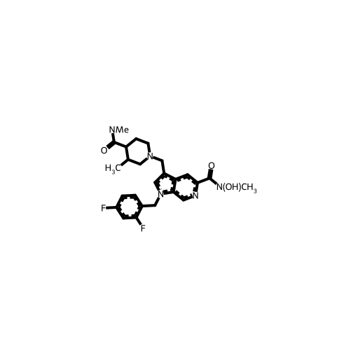 CNC(=O)C1CCN(Cc2cn(Cc3ccc(F)cc3F)c3cnc(C(=O)N(C)O)cc23)CC1C